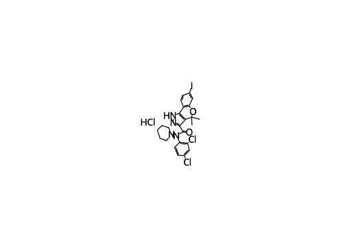 CC1(C)Oc2cc(I)ccc2-c2[nH]nc(C(=O)N(c3ccc(Cl)cc3Cl)N3CCCCC3)c21.Cl